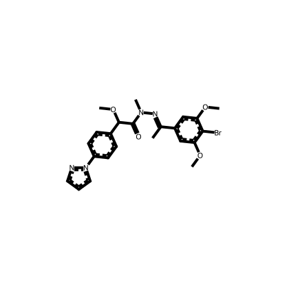 COc1cc(/C(C)=N/N(C)C(=O)C(OC)c2ccc(-n3cccn3)cc2)cc(OC)c1Br